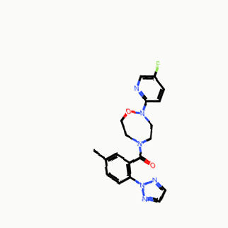 Cc1ccc(-n2nccn2)c(C(=O)N2CCON(c3ccc(F)cn3)CC2)c1